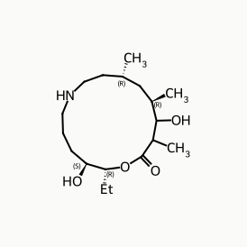 CC[C@H]1OC(=O)C(C)C(O)[C@H](C)C[C@@H](C)CCNCCC[C@@H]1O